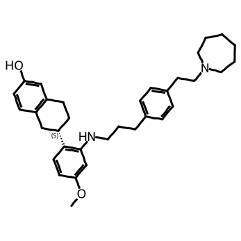 COc1ccc([C@H]2CCc3cc(O)ccc3C2)c(NCCCc2ccc(CCN3CCCCCC3)cc2)c1